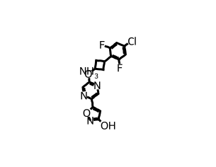 N.Oc1cc(-c2cnc(OC3CC(c4c(F)cc(Cl)cc4F)C3)cn2)on1